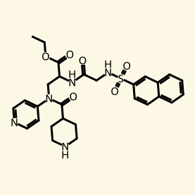 CCOC(=O)C(CN(C(=O)C1CCNCC1)c1ccncc1)NC(=O)CNS(=O)(=O)c1ccc2ccccc2c1